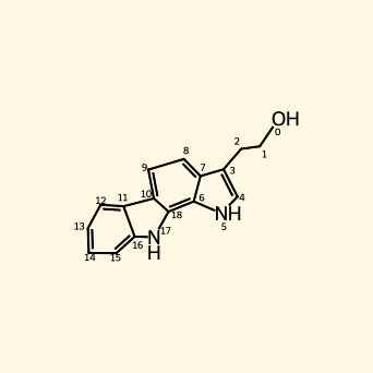 OCCc1c[nH]c2c1ccc1c3ccccc3[nH]c12